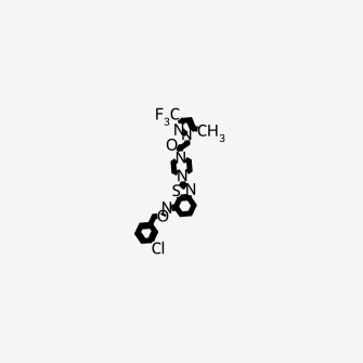 Cc1cc(C(F)(F)F)nn1CC(=O)N1CCN(c2nc3c(s2)C(=NOCc2cccc(Cl)c2)CCC3)CC1